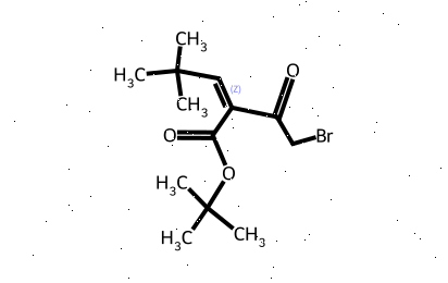 CC(C)(C)/C=C(/C(=O)CBr)C(=O)OC(C)(C)C